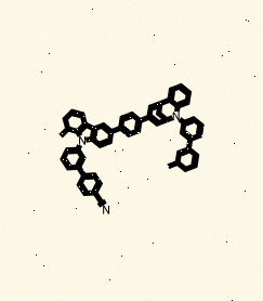 CC1C=C(c2cccc(N3c4ccccc4C4=CC(c5ccc(-c6ccc7c(c6)c6c(n7-c7cccc(-c8ccc(C#N)cc8)c7)C(C)CC=C6)cc5)=CC3C4)c2)C=CC1